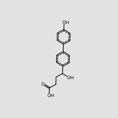 O=C(O)CCC(O)c1ccc(-c2ccc(O)cc2)cc1